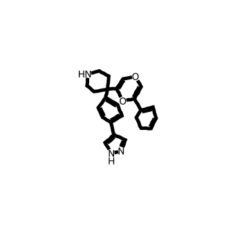 C1=CCCC(C2=COC=C(C3(c4ccc(-c5cn[nH]c5)cc4)CCNCC3)O2)=C1